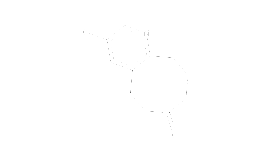 Cc1cnc2c(c1)CCC(=O)CCC2